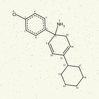 NC1(c2ccc(Cl)cc2)C=CC(C2CCCCC2)=CC1